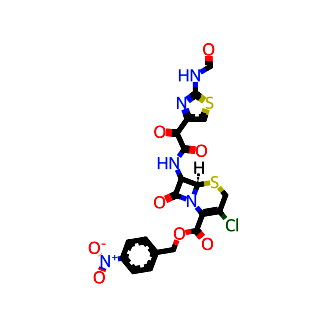 O=CNc1nc(C(=O)C(=O)NC2C(=O)N3C(C(=O)OCc4ccc([N+](=O)[O-])cc4)=C(Cl)CS[C@H]23)cs1